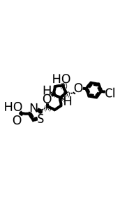 O=C(O)c1csc([C@H]2CC[C@@H]3[C@@H](COc4ccc(Cl)cc4)[C@H](O)C[C@@H]3O2)n1